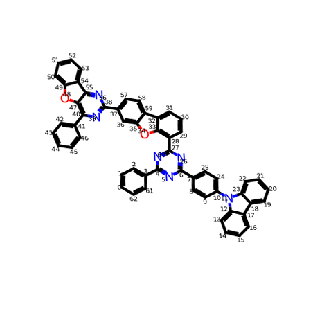 c1ccc(-c2nc(-c3ccc(-n4c5ccccc5c5ccccc54)cc3)nc(-c3cccc4c3oc3cc(-c5nc(-c6ccccc6)c6oc7ccccc7c6n5)ccc34)n2)cc1